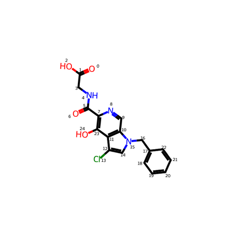 O=C(O)CNC(=O)c1ncc2c(c(Cl)cn2Cc2ccccc2)c1O